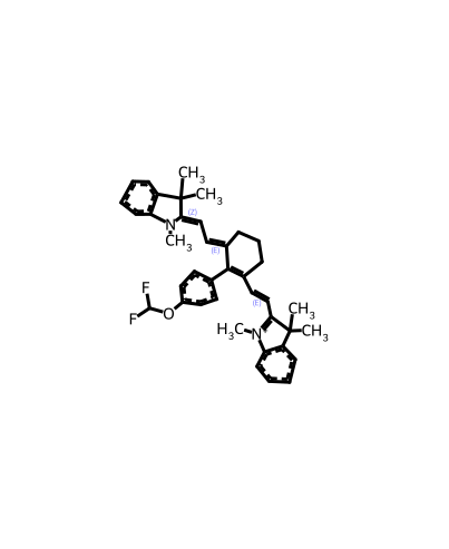 CN1/C(=C\C=C2/CCCC(/C=C/C3=[N+](C)c4ccccc4C3(C)C)=C2c2ccc(OC(F)F)cc2)C(C)(C)c2ccccc21